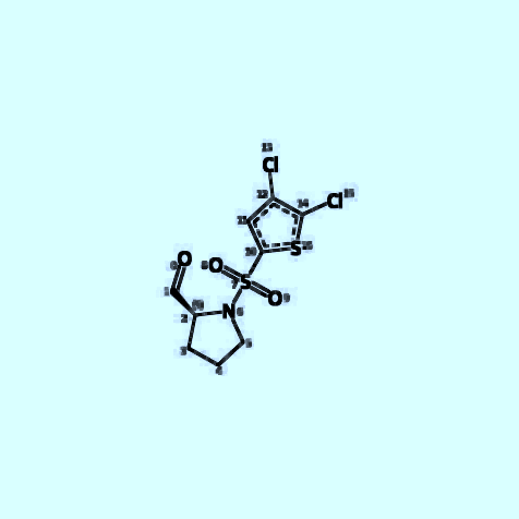 O=[C][C@@H]1CCCN1S(=O)(=O)c1cc(Cl)c(Cl)s1